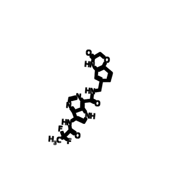 CC(F)(F)C(=O)Nc1c[nH]c2c(C(=O)NCc3ccc4c(c3)NC(=O)CO4)ncnc12